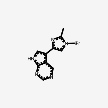 Cc1nc(-c2c[nH]c3ncncc23)cn1C(C)C